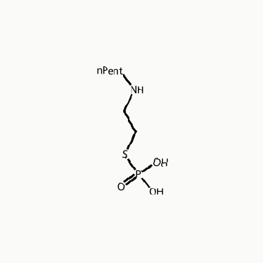 CCCCCNCCSP(=O)(O)O